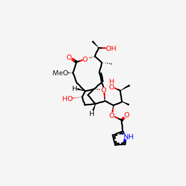 CO[C@H]1C[C@H]2[C@@H](O)C[C@@H]3C[C@]2(O[C@H]3[C@H](OC(=O)c2ccc[nH]2)[C@H](C)[C@H](C)O)/C(C)=C/[C@@H](C)[C@@H]([C@@H](C)O)OC1=O